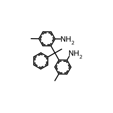 Cc1ccc(N)c(C(C)(c2ccccc2)c2cc(C)ccc2N)c1